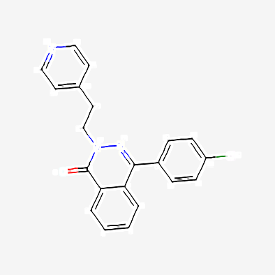 O=c1c2ccccc2c(-c2ccc(Cl)cc2)nn1CCc1ccncc1